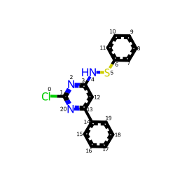 Clc1nc(NSc2ccccc2)cc(-c2ccccc2)n1